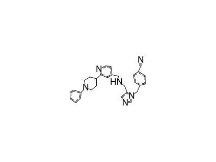 N#Cc1ccc(Cn2cncc2CNCc2ccnc(C3CCN(c4ccccc4)CC3)c2)cc1